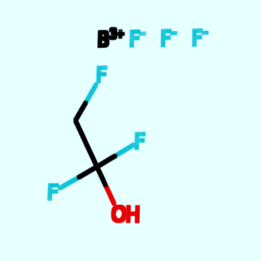 OC(F)(F)CF.[B+3].[F-].[F-].[F-]